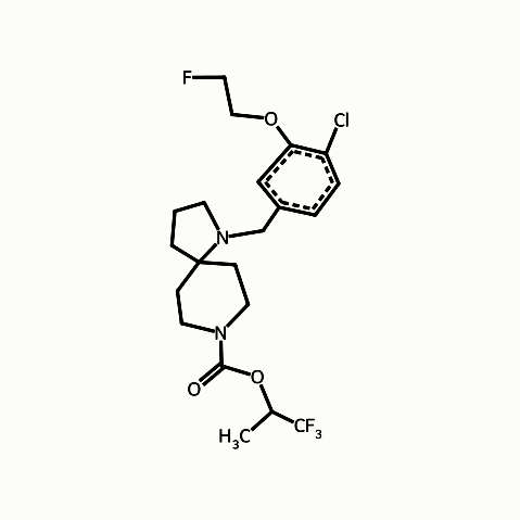 CC(OC(=O)N1CCC2(CCCN2Cc2ccc(Cl)c(OCCF)c2)CC1)C(F)(F)F